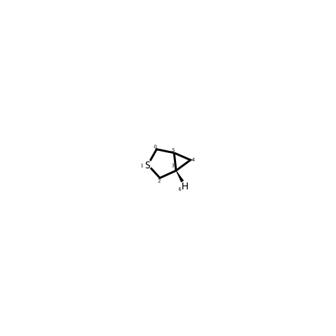 C1SC[C@H]2CC12